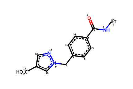 CC(C)NC(=O)c1ccc(Cn2cc(C(=O)O)cn2)cc1